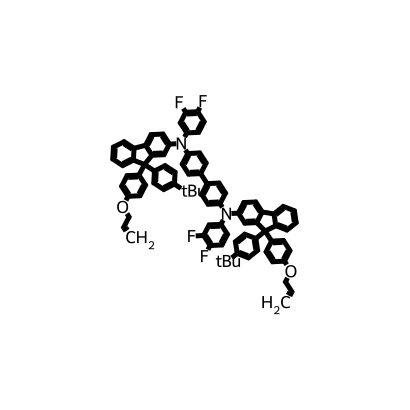 C=CCOc1ccc(C2(c3ccc(C(C)(C)C)cc3)c3ccccc3-c3ccc(N(c4ccc(-c5ccc(N(c6ccc(F)c(F)c6)c6ccc7c(c6)C(c6ccc(OCC=C)cc6)(c6ccc(C(C)(C)C)cc6)c6ccccc6-7)cc5)cc4)c4ccc(F)c(F)c4)cc32)cc1